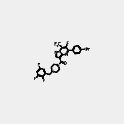 CC(C)c1ccc(-c2nc3c(C(=O)N4CCN(Cc5cc(F)cc(F)c5F)CC4)cnn3c(C(F)(F)F)c2F)cc1